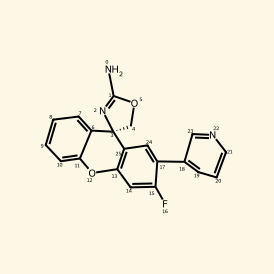 NC1=N[C@]2(CO1)c1ccccc1Oc1cc(F)c(-c3cccnc3)cc12